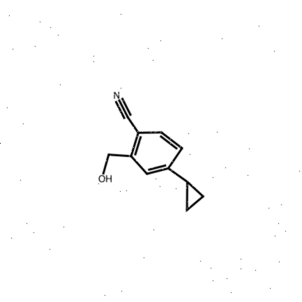 N#Cc1ccc(C2CC2)cc1CO